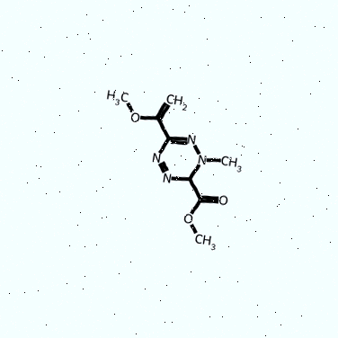 C=C(OC)C1=NN(C)C(C(=O)OC)N=N1